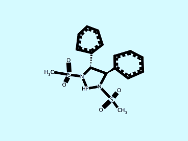 CS(=O)(=O)N1PN(S(C)(=O)=O)[C@H](c2ccccc2)[C@H]1c1ccccc1